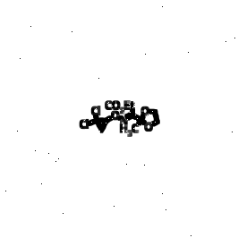 CCOC(=O)C(=NOC1CC1(Cl)Cl)C1(C)OCCO1